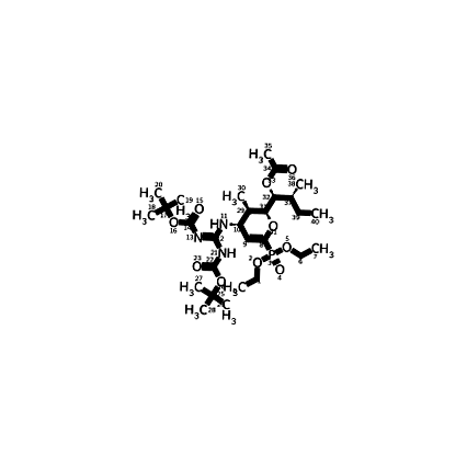 CCOP(=O)(OCC)C1=C[C@H](N/C(=N\C(=O)OC(C)(C)C)NC(=O)OC(C)(C)C)[C@@H](C)[C@H]([C@H](OC(C)=O)[C@H](C)CC)O1